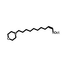 CCCCCCCC/C=C\CCCCCCCCN1CCOCC1